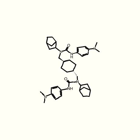 CN(C)c1ccc(NC(=O)N(C[C@H]2CC[C@H](CN(C(=O)Nc3ccc(N(C)C)cc3)C3CC4CCC3C4)CC2)C2CC3CCC2C3)cc1